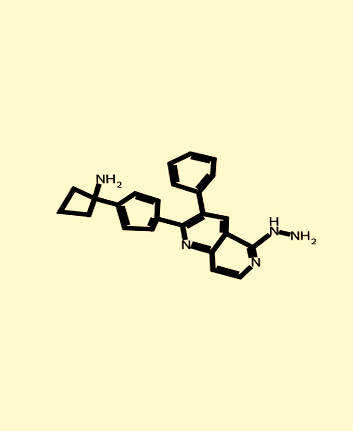 NNc1nccc2nc(-c3ccc(C4(N)CCC4)cc3)c(-c3ccccc3)cc12